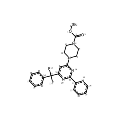 CC(C)(C)OC(=O)N1CCN(c2cc(C(F)(F)c3ccccc3)nc(-c3ccccn3)n2)CC1